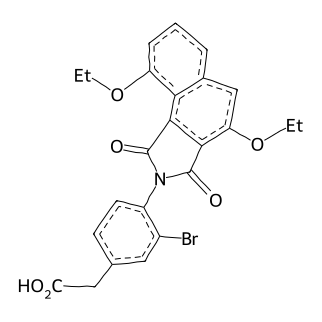 CCOc1cc2cccc(OCC)c2c2c1C(=O)N(c1ccc(CC(=O)O)cc1Br)C2=O